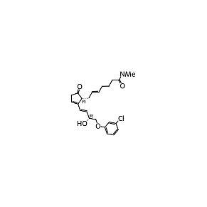 CNC(=O)CCCC=CC[C@H]1C(=O)CC=C1C=C[C@@H](O)COc1cccc(Cl)c1